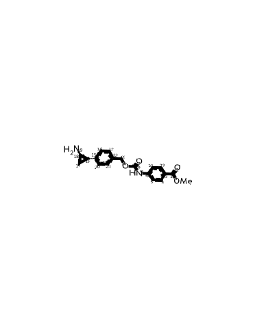 COC(=O)c1ccc(NC(=O)OCc2ccc([C@@H]3C[C@H]3N)cc2)cc1